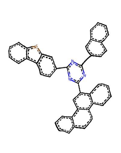 c1ccc2cc(-c3nc(-c4ccc5c(c4)sc4ccccc45)nc(-c4cc5c6ccccc6ccc5c5ccccc45)n3)ccc2c1